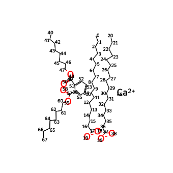 CCCCCCCCCCCCCCCCCC(=O)[O-].CCCCCCCCCCCCCCCCCC(=O)[O-].CCCCCCCCOC(=O)c1ccccc1C(=O)OCCCCCCCC.[Ca+2]